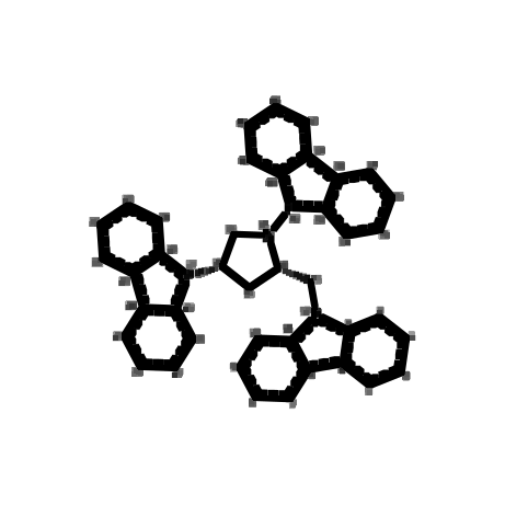 c1ccc2c(c1)c1ccccc1p2C[C@@H]1C[C@H](p2c3ccccc3c3ccccc32)CN1p1c2ccccc2c2ccccc21